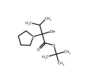 CC(C)C(O)(C(=O)OC(C)(C)C)N1CCCC1